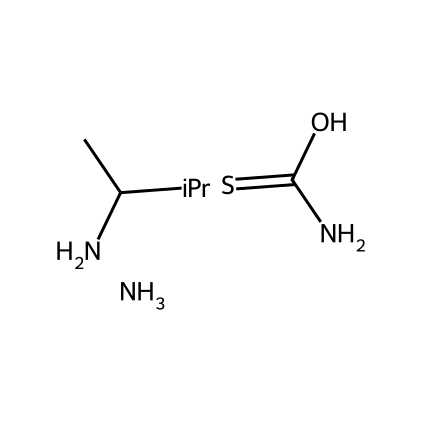 CC(C)C(C)N.N.NC(O)=S